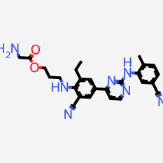 CCc1cc(-c2ccnc(Nc3cc(C#N)ccc3C)n2)cc(C#N)c1NCCCOC(=O)CN